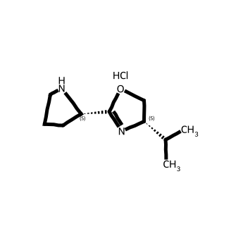 CC(C)[C@H]1COC([C@@H]2CCCN2)=N1.Cl